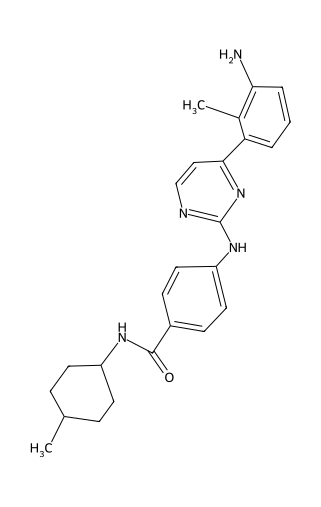 Cc1c(N)cccc1-c1ccnc(Nc2ccc(C(=O)NC3CCC(C)CC3)cc2)n1